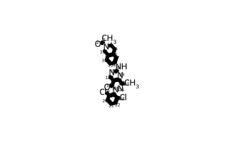 CC(=O)N1CCc2cc(Nc3ncc4c(=O)n(-c5c(Cl)cccc5Cl)nc(C)c4n3)ccc2C1